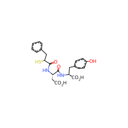 O=C(O)C[C@H](NC(=O)[C@@H](S)Cc1ccccc1)C(=O)N[C@@H](Cc1ccc(O)cc1)C(=O)O